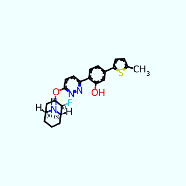 Cc1ccc(-c2ccc(-c3ccc(O[C@@H]4C[C@H]5CCC[C@H](N5)[C@@H]4F)nn3)c(O)c2)s1